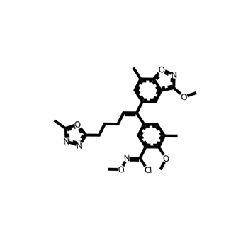 CON=C(Cl)c1cc(/C(=C\CCCc2nnc(C)o2)c2cc(C)c3onc(OC)c3c2)cc(C)c1OC